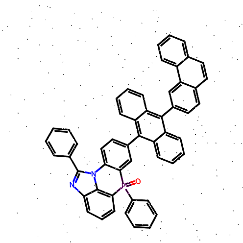 O=P1(c2ccccc2)c2cc(-c3c4ccccc4c(-c4ccc5ccc6ccccc6c5c4)c4ccccc34)ccc2-n2c(-c3ccccc3)nc3cccc1c32